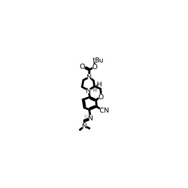 CN(C)/C=N/c1ccc2c(c1C#N)OC[C@@H]1CN(C(=O)OC(C)(C)C)CCN21